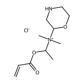 C=CC(=O)OC(C)[N+](C)(C)C1CNCCO1.[Cl-]